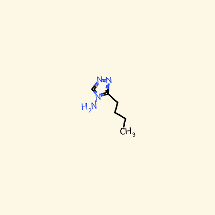 CCCCc1nncn1N